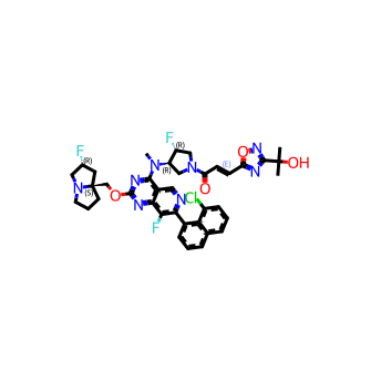 CN(c1nc(OC[C@@]23CCCN2C[C@H](F)C3)nc2c(F)c(-c3cccc4cccc(Cl)c34)ncc12)[C@@H]1CN(C(=O)/C=C/c2nc(C(C)(C)O)no2)C[C@H]1F